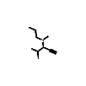 C#CC(C(C)C)N(C)CCC